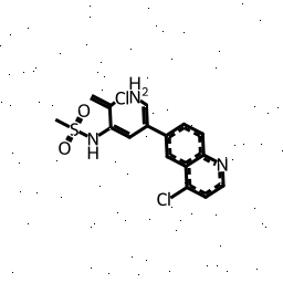 C=C(Cl)/C(=C\C(=C/N)c1ccc2nccc(Cl)c2c1)NS(C)(=O)=O